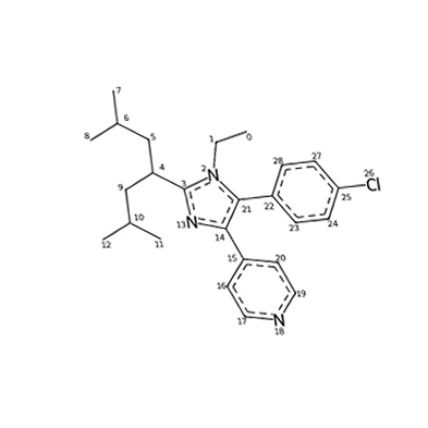 CCn1c(C(CC(C)C)CC(C)C)nc(-c2ccncc2)c1-c1ccc(Cl)cc1